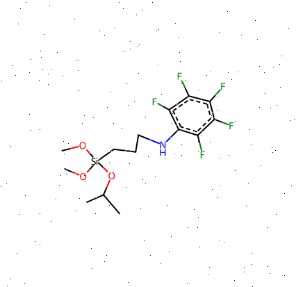 CO[Si](CCCNc1c(F)c(F)c(F)c(F)c1F)(OC)OC(C)C